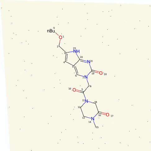 CCCCOCc1cc2cn(CC(=O)N3CCN(C)C(=O)C3)c(=O)nc2[nH]1